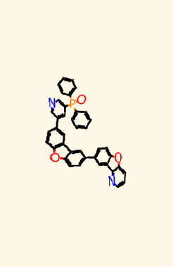 O=P(c1ccccc1)(c1ccccc1)c1cncc(-c2ccc3oc4ccc(-c5ccc6oc7cccnc7c6c5)cc4c3c2)c1